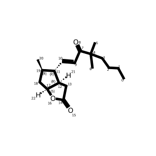 CCCCC(C)(C)C(=O)C=C[C@@H]1[C@H]2CC(=O)O[C@H]2C[C@H]1C